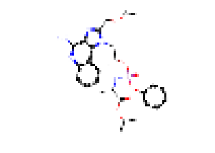 CCOCc1nc2c(N)nc3ccccc3c2n1C[C@@H](C)O[P@@](=O)(N[C@H](C)C(=O)OC(C)C)Oc1ccccc1